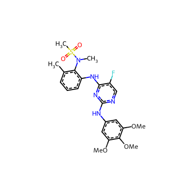 COc1cc(Nc2ncc(F)c(Nc3cccc(C)c3N(C)S(C)(=O)=O)n2)cc(OC)c1OC